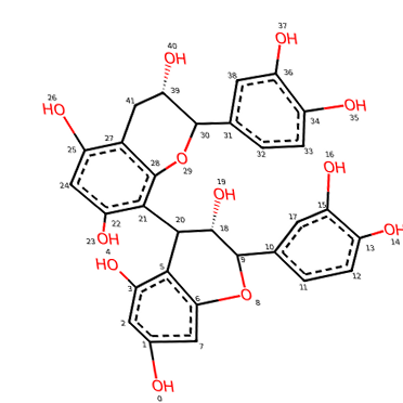 Oc1cc(O)c2c(c1)OC(c1ccc(O)c(O)c1)[C@@H](O)C2c1c(O)cc(O)c2c1OC(c1ccc(O)c(O)c1)[C@@H](O)C2